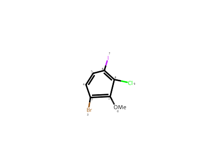 COc1c(Br)c[c]c(I)c1Cl